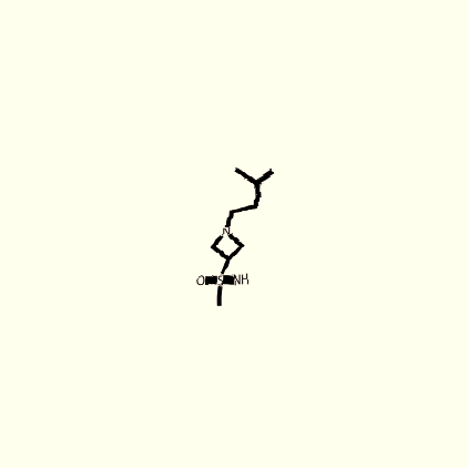 CC(C)CCN1CC(S(C)(=N)=O)C1